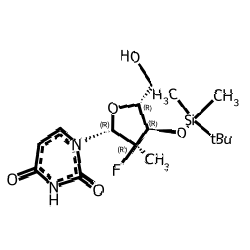 CC(C)(C)[Si](C)(C)O[C@@H]1[C@@H](CO)O[C@@H](n2ccc(=O)[nH]c2=O)[C@]1(C)F